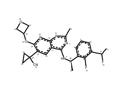 Cc1nc(N[C@H](C)c2cccc(C(C)F)c2F)c2cc(C3(C#N)CC3)c(OC3COC3)nc2n1